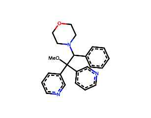 COC(c1cccnc1)(c1cccnc1)C(c1ccccc1)N1CCOCC1